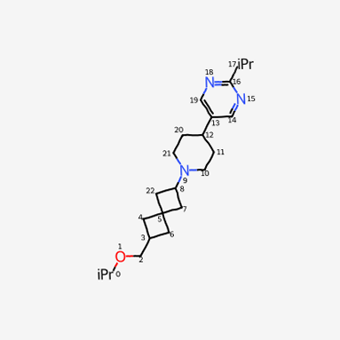 CC(C)OCC1CC2(C1)CC(N1CCC(c3cnc(C(C)C)nc3)CC1)C2